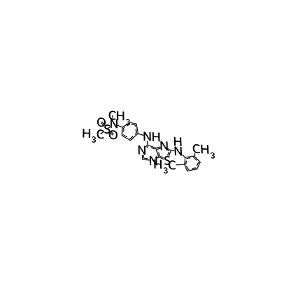 Cc1cccc(C)c1Nc1nc2c(Nc3ccc(N(C)S(C)(=O)=O)cc3)ncnc2s1